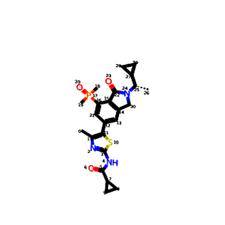 Cc1nc(NC(=O)C2CC2)sc1-c1cc2c(c(P(C)(C)=O)c1)C(=O)N([C@@H](C)C1CC1)C2